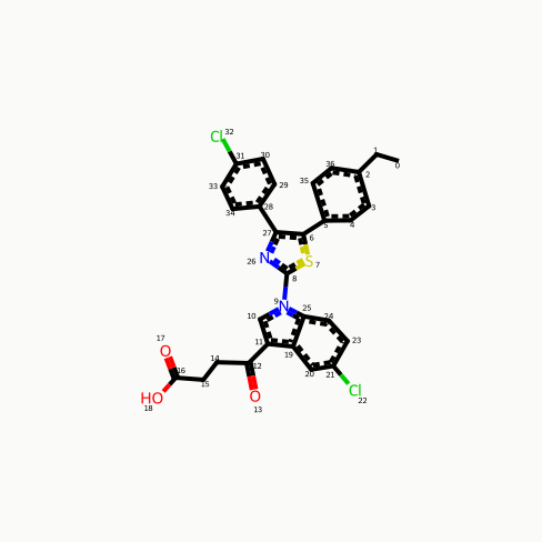 CCc1ccc(-c2sc(-n3cc(C(=O)CCC(=O)O)c4cc(Cl)ccc43)nc2-c2ccc(Cl)cc2)cc1